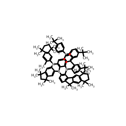 Cc1cc2c(cc1N1c3cc4c(cc3B3c5ccc6c(c5N(c5ccc(C(C)(C)C)cc5-c5ccccc5)c5cc(N(c7ccc(C(C)(C)C)cc7)c7ccc(C(C)(C)C)cc7)cc1c53)-c1cc3c(cc1C6(C)C)C(C)(C)CCC3(C)C)C(C)(C)CC4(C)C)C(C)(C)CCC2(C)C